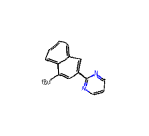 CC(C)(C)c1cc(-c2ncccn2)cc2ccccc12